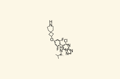 CC(C)[C@@H](C)Nc1c(-c2c(F)cc(OC3CC4(CCNCC4)C3)cc2F)c(Cl)nc2ncnn12